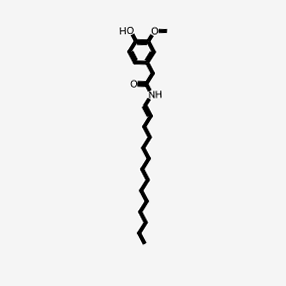 CCCCCCCCCCCCC=CNC(=O)Cc1ccc(O)c(OC)c1